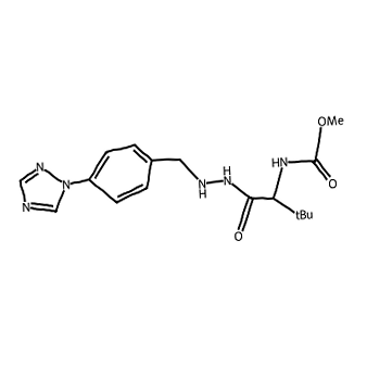 COC(=O)NC(C(=O)NNCc1ccc(-n2cncn2)cc1)C(C)(C)C